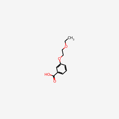 CCOCCOc1cccc(C(=O)O)c1